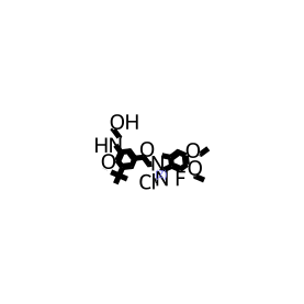 CCOc1cc2c(c(F)c1OCC)/C(=N/Cl)N(CC(=O)c1cc(NCCO)c(OC)c(C(C)(C)C)c1)C2